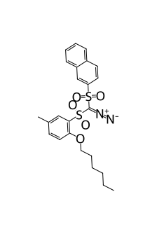 CCCCCCOc1ccc(C)cc1S(=O)(=O)C(=[N+]=[N-])S(=O)(=O)c1ccc2ccccc2c1